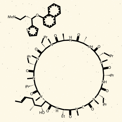 C/C=C/C[C@@H](C)[C@@H](O)[C@H]1C(=O)N[C@@H](CC)C(=O)N(C)CC(=O)N(C)[C@@H](CC(C)C)C(=O)N[C@@H](C(C)C)C(=O)N(C)[C@@H](CC(C)C)C(=O)N[C@@H](C)C(=O)N[C@H](C)C(=O)N(C)[C@@H](CC(C)C)C(=O)N(C)[C@@H](CC(C)C)C(=O)N(C)[C@@H](C(C)C)C(=O)N1C.CNCC[C@H](Oc1cccc2ccccc12)c1cccs1